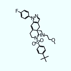 COCCNC[C@]12Cc3cnn(-c4ccc(F)cc4)c3C=C1CCN(S(=O)(=O)c1ccc(C(C)(C)C)cc1)C2